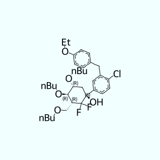 CCCCOC[C@@H]1[C@@H](OCCCC)[C@H](OCCCC)C[C@](O)(c2ccc(Cl)c(Cc3ccc(OCC)cc3)c2)C1(F)F